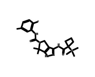 Cc1ccc(F)c(NC(=O)N2Cc3c(NC(=O)C4([Si](C)(C)C)CCC4)n[nH]c3C2(C)C)c1